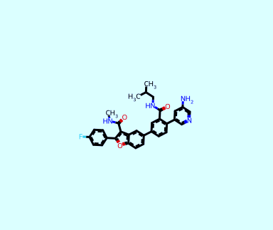 CNC(=O)c1c(-c2ccc(F)cc2)oc2ccc(-c3ccc(-c4cncc(N)c4)c(C(=O)NCC(C)C)c3)cc12